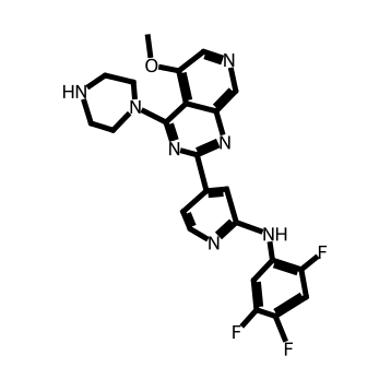 COc1cncc2nc(-c3ccnc(Nc4cc(F)c(F)cc4F)c3)nc(N3CCNCC3)c12